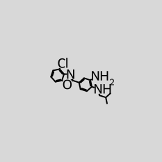 CC(C)CNc1ccc(-c2nc3c(Cl)cccc3o2)cc1N